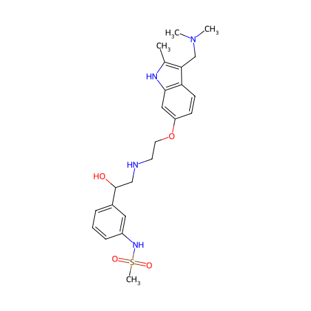 Cc1[nH]c2cc(OCCNCC(O)c3cccc(NS(C)(=O)=O)c3)ccc2c1CN(C)C